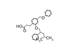 CC(C)CC(COc1cc(COc2ccccc2)ccc1CCC(=O)O)c1ccccc1